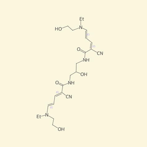 CCN(/C=C/C=C(/C#N)C(=O)NCC(O)CNC(=O)/C(C#N)=C/C=C/N(CC)CCO)CCO